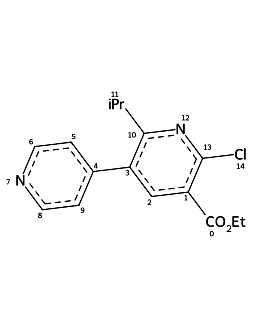 CCOC(=O)c1cc(-c2ccncc2)c(C(C)C)nc1Cl